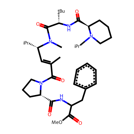 COC(=O)C(Cc1ccccc1)NC(=O)[C@@H]1CCCN1C(=O)/C(C)=C/[C@H](C(C)C)N(C)C(=O)[C@@H](NC(=O)[C@H]1CCCCN1C(C)C)C(C)(C)C